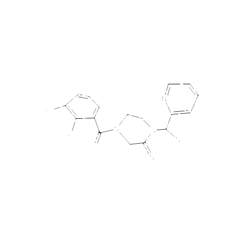 N=C1CN(C(=O)c2cccc(Cl)c2Cl)CCN1C(N)c1ccccn1